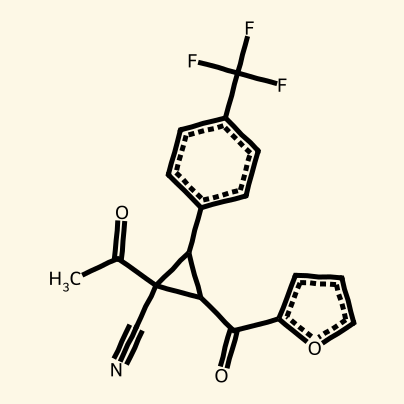 CC(=O)C1(C#N)C(C(=O)c2ccco2)C1c1ccc(C(F)(F)F)cc1